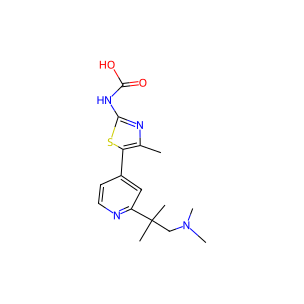 Cc1nc(NC(=O)O)sc1-c1ccnc(C(C)(C)CN(C)C)c1